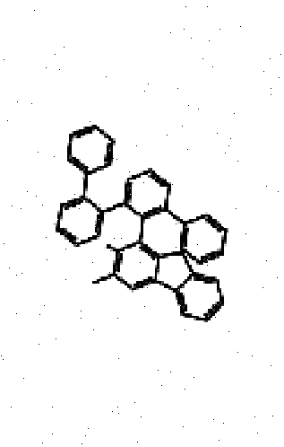 Cc1cc2c(c(-c3c(-c4ccccc4)cccc3-c3ccccc3-c3ccccc3)c1C)Cc1ccccc1-2